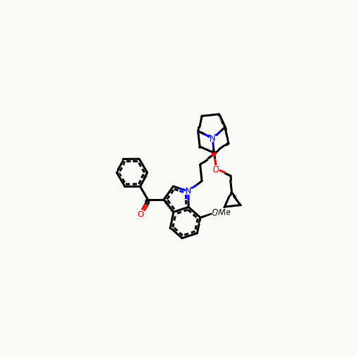 COc1cccc2c(C(=O)c3ccccc3)cn(CCCN3C4CCC3CC(OCC3CC3)C4)c12